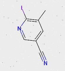 Cc1cc(C#N)cnc1I